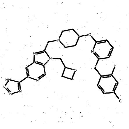 Fc1cc(Cl)ccc1Cc1cccc(OC2CCN(Cc3nc4cc(-c5nnn[nH]5)ncc4n3CC3CCO3)CC2)n1